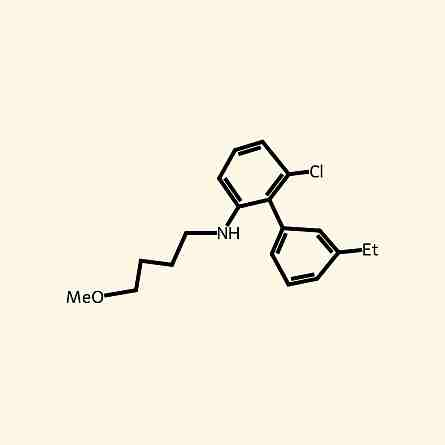 CCc1cccc(-c2c(Cl)cccc2NCCCCOC)c1